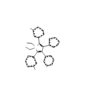 CC[Si]1(CC)C(c2cccc(F)c2)=C(c2ccccc2)C(c2ccccc2)=C1c1cccc(F)c1